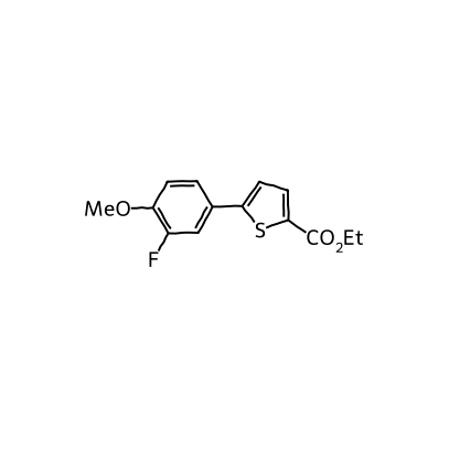 CCOC(=O)c1ccc(-c2ccc(OC)c(F)c2)s1